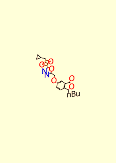 CCCCC1OC(=O)c2cc(OCc3nnc(S(=O)(=O)CC4CC4)o3)ccc21